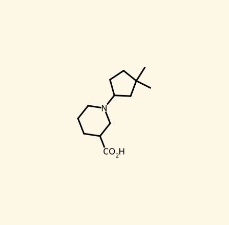 CC1(C)CCC(N2CCCC(C(=O)O)C2)C1